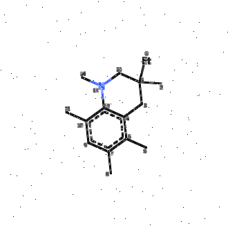 CCC1(C)Cc2c(C)c(C)cc(C)c2N(C)C1